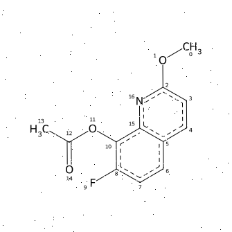 COc1ccc2ccc(F)c(OC(C)=O)c2n1